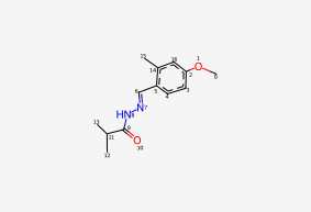 COc1ccc(C=NNC(=O)C(C)C)c(C)c1